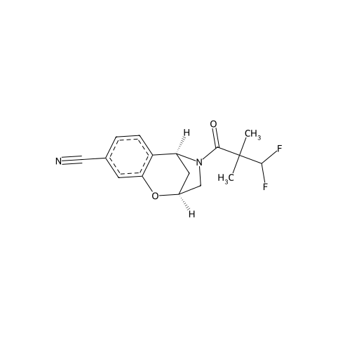 CC(C)(C(=O)N1C[C@@H]2C[C@H]1c1ccc(C#N)cc1O2)C(F)F